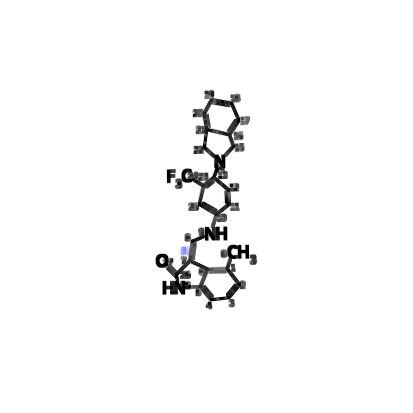 Cc1cccc2c1/C(=C\Nc1ccc(N3Cc4ccccc4C3)c(C(F)(F)F)c1)C(=O)N2